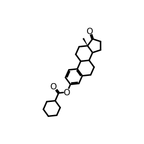 C[C@]12CCC3c4ccc(OC(=O)C5CCCCC5)cc4CCC3C1CCC2=O